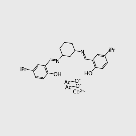 CC(=O)[O-].CC(=O)[O-].CC(C)c1ccc(O)c(C=NC2CCCC(N=Cc3cc(C(C)C)ccc3O)C2)c1.[Co+2]